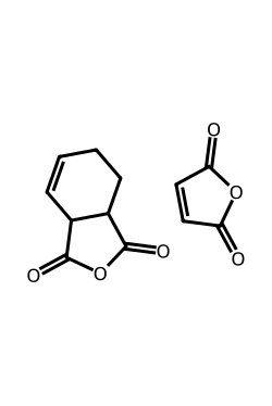 O=C1C=CC(=O)O1.O=C1OC(=O)C2CCC=CC12